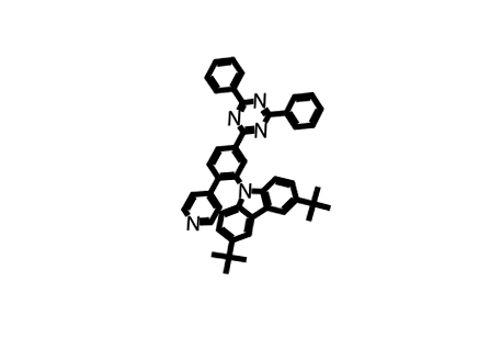 CC(C)(C)c1ccc2c(c1)c1cc(C(C)(C)C)ccc1n2-c1cc(-c2nc(-c3ccccc3)nc(-c3ccccc3)n2)ccc1-c1ccncc1